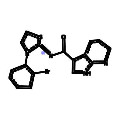 O=C(/N=c1\sccn1-c1ccccc1Br)c1c[nH]c2ncccc12